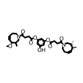 COC1C#CCCN(C(=O)CCC(=O)Oc2cc(O)cc(OC(=O)CCC(=O)N3CCC#C[C@H](C)[C@@H](C)C3)c2)CC1C